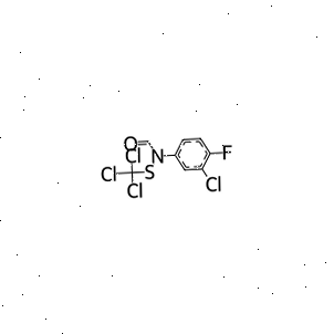 O=CN(SC(Cl)(Cl)Cl)c1ccc(F)c(Cl)c1